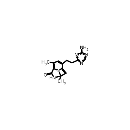 CC1=C2C(=O)NC3(C)C=C(C(CCc4ncnc(N)n4)=C1)N23